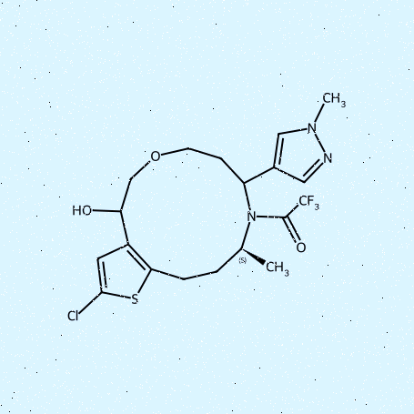 C[C@H]1CCc2sc(Cl)cc2C(O)COCCC(c2cnn(C)c2)N1C(=O)C(F)(F)F